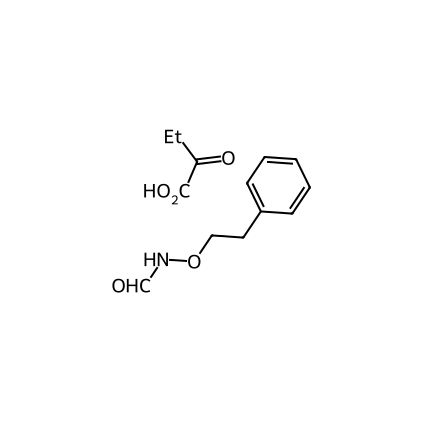 CCC(=O)C(=O)O.O=CNOCCc1ccccc1